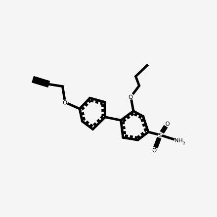 C#CCOc1ccc(-c2ccc(S(N)(=O)=O)cc2OCCC)cc1